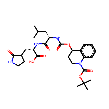 CC(C)C[C@H](NC(=O)OC1CCN(C(=O)OC(C)(C)C)c2ccccc21)C(=O)N[C@@H](CC1CCNC1=O)C(=O)O